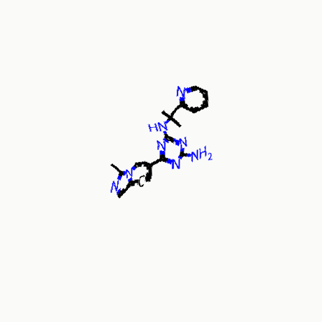 Cc1ncc2ccc(-c3nc(N)nc(NC(C)(C)c4ccccn4)n3)cn12